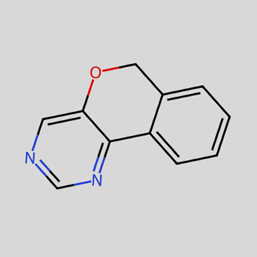 c1ccc2c(c1)COc1cncnc1-2